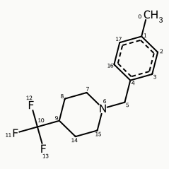 Cc1ccc(CN2CCC(C(F)(F)F)CC2)cc1